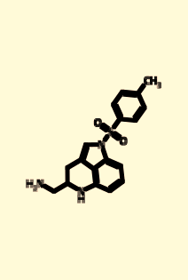 Cc1ccc(S(=O)(=O)n2cc3c4c(cccc42)NC(CN)C3)cc1